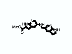 COC(=O)c1cc2cc(NCc3cnc4[nH]ccc4c3)cnc2[nH]1